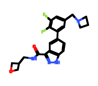 O=C(NCC1COC1)c1n[nH]c2ccc(-c3cc(CN4CCC4)cc(F)c3F)cc12